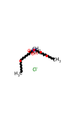 CCCCCCCC/C=C\CCCCCCCC(=O)C(O)C[N+](C)(C)CCCCCCCCCCCCCCCC.[Cl-]